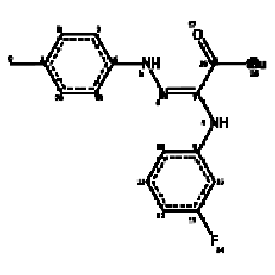 Cc1ccc(N/N=C(/Nc2cccc(F)c2)C(=O)C(C)(C)C)cc1